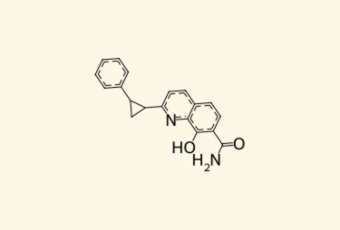 NC(=O)c1ccc2ccc(C3CC3c3ccccc3)nc2c1O